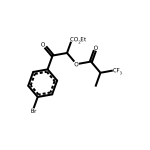 CCOC(=O)C(OC(=O)C(C)C(F)(F)F)C(=O)c1ccc(Br)cc1